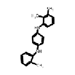 Cc1ccccc1Nc1ccc(Nc2cccc(C)c2C)cc1